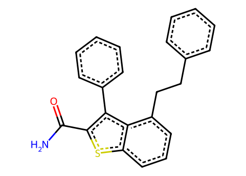 NC(=O)c1sc2cccc(CCc3ccccc3)c2c1-c1ccccc1